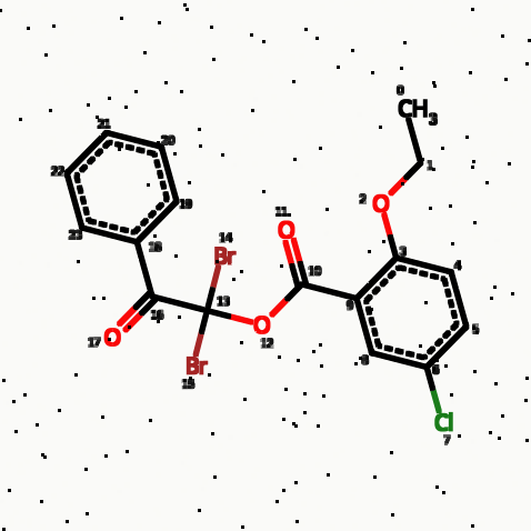 CCOc1ccc(Cl)cc1C(=O)OC(Br)(Br)C(=O)c1ccccc1